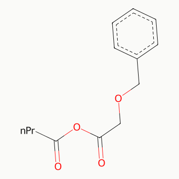 [CH2]CCC(=O)OC(=O)COCc1ccccc1